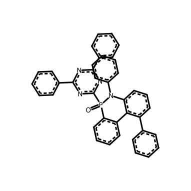 O=P1(c2nc(-c3ccccc3)nc(-c3ccccc3)n2)c2ccccc2-c2c(-c3ccccc3)cccc2N1c1ccccc1